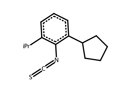 CC(C)c1cccc(C2CCCC2)c1N=C=S